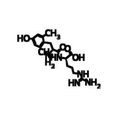 Cc1cc(O)cc(C)c1C[C@H](N)C(=O)N[C@H](CCCNC(=N)N)C(=O)O